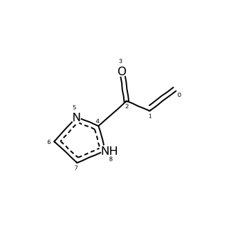 C=CC(=O)c1ncc[nH]1